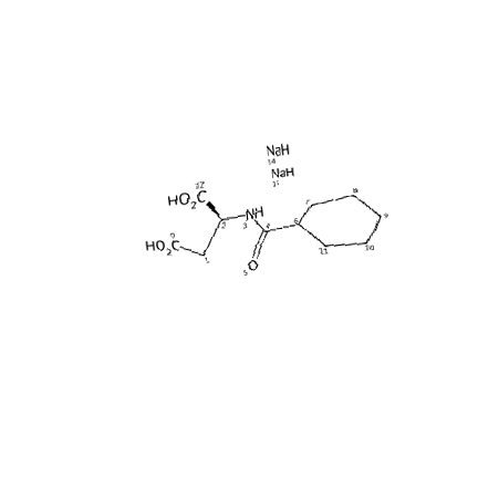 O=C(O)C[C@H](NC(=O)C1CCCCC1)C(=O)O.[NaH].[NaH]